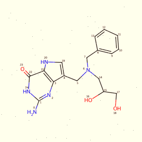 Nc1nc2c(CN(Cc3ccccc3)CC(O)CO)c[nH]c2c(=O)[nH]1